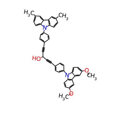 COc1ccc2c(c1)c1cc(OC)ccc1n2-c1ccc(C#CC(O)C#Cc2ccc(-n3c4ccc(C)cc4c4cc(C)ccc43)cc2)cc1